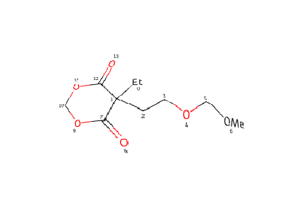 CCC1(CCOCOC)C(=O)OCOC1=O